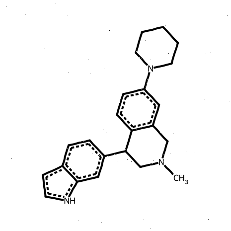 CN1Cc2cc(N3CCCCC3)ccc2C(c2ccc3cc[nH]c3c2)C1